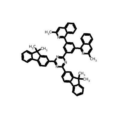 Cc1cc2ccccc2c(-c2cc(-c3nc(-c4ccc5c(c4)C(C)(C)c4ccccc4-5)nc(-c4ccc5c(c4)C(C)(C)c4ccccc4-5)n3)cc(-c3nc(C)cc4ccccc34)c2)n1